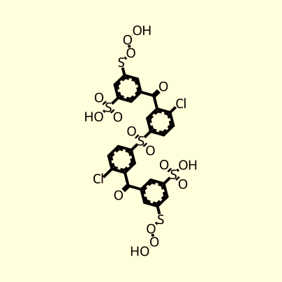 O=C(c1cc(SOOO)cc(S(=O)(=O)O)c1)c1cc(S(=O)(=O)c2ccc(Cl)c(C(=O)c3cc(SOOO)cc(S(=O)(=O)O)c3)c2)ccc1Cl